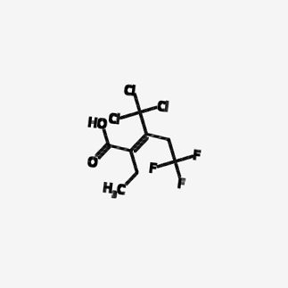 CCC(C(=O)O)=C(CC(F)(F)F)C(Cl)(Cl)Cl